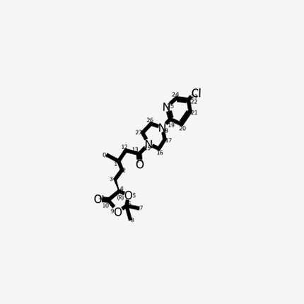 CC(CC[C@H]1OC(C)(C)OC1=O)CC(=O)N1CCN(c2ccc(Cl)cn2)CC1